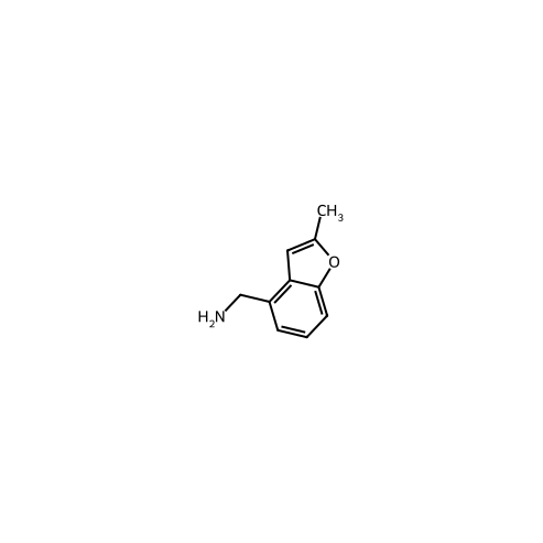 Cc1cc2c(CN)cccc2o1